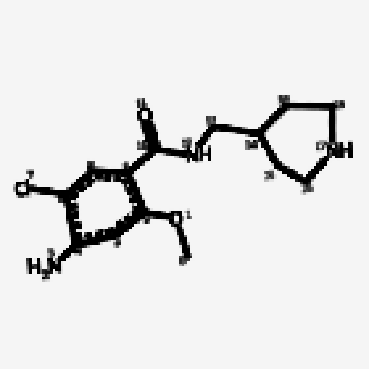 COc1cc(N)c(Cl)cc1C(=O)NCC1CCNCC1